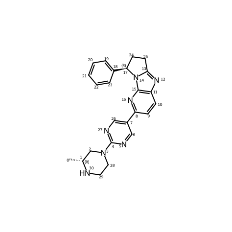 C[C@@H]1CN(c2ncc(-c3ccc4nc5n(c4n3)[C@@H](c3ccccc3)CC5)cn2)CCN1